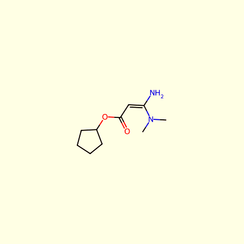 CN(C)/C(N)=C\C(=O)OC1CCCC1